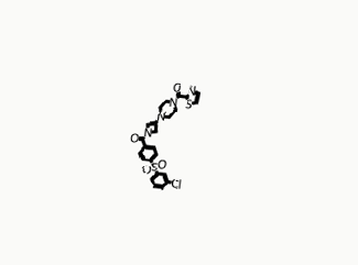 O=C(c1ccc(S(=O)(=O)c2cccc(Cl)c2)cc1)N1CC(N2CCN(C(=O)c3nccs3)CC2)C1